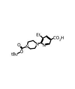 CCc1cc(C(=O)O)cnc1N1CCN(C(=O)OC(C)(C)C)CC1